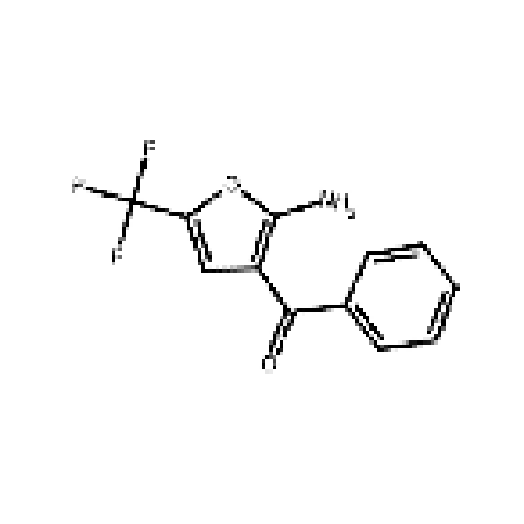 Nc1oc(C(F)(F)F)cc1C(=O)c1ccccc1